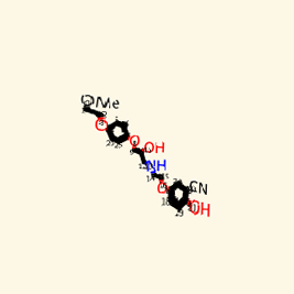 COCCOc1ccc(OCC(O)CNCCOc2ccc(O)c(C#N)c2)cc1